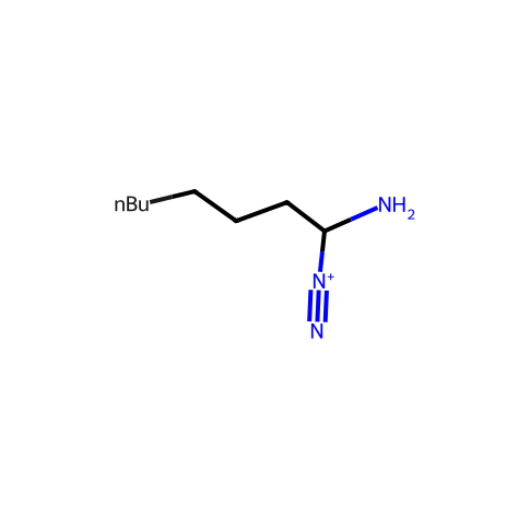 CCCCCCCC(N)[N+]#N